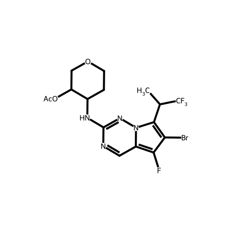 CC(=O)OC1COCCC1Nc1ncc2c(F)c(Br)c(C(C)C(F)(F)F)n2n1